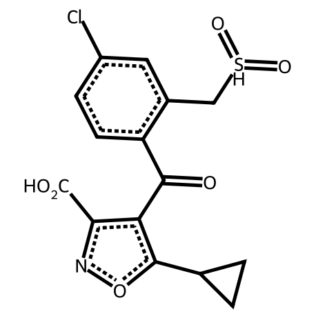 O=C(O)c1noc(C2CC2)c1C(=O)c1ccc(Cl)cc1C[SH](=O)=O